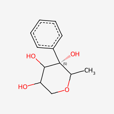 CC1OCC(O)C(O)[C@@]1(O)c1ccccc1